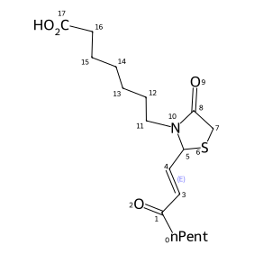 CCCCCC(=O)/C=C/C1SCC(=O)N1CCCCCCC(=O)O